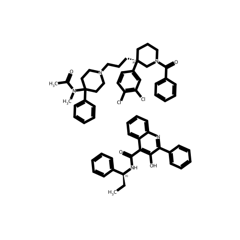 CC(=O)N(C)C1(c2ccccc2)CCN(CCC[C@]2(c3ccc(Cl)c(Cl)c3)CCCN(C(=O)c3ccccc3)C2)CC1.CC[C@H](NC(=O)c1c(O)c(-c2ccccc2)nc2ccccc12)c1ccccc1